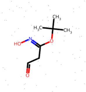 CC(C)(C)OC(CC=O)=NO